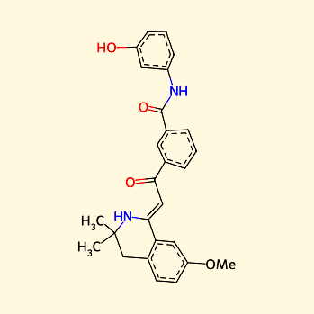 COc1ccc2c(c1)/C(=C/C(=O)c1cccc(C(=O)Nc3cccc(O)c3)c1)NC(C)(C)C2